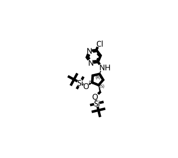 CC(C)(C)[Si](C)(C)OC[C@@H]1C[C@@H](Nc2cc(Cl)ncn2)C[C@@H]1O[Si](C)(C)C(C)(C)C